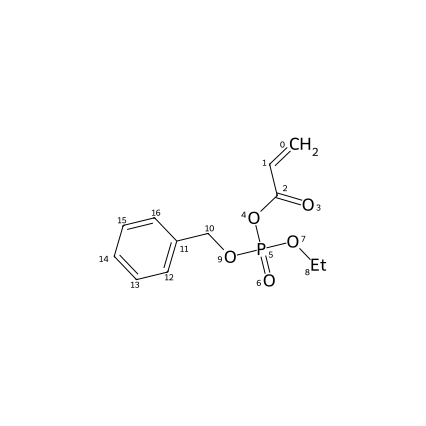 C=CC(=O)OP(=O)(OCC)OCc1ccccc1